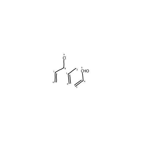 C=CC.C=CC=O.C=CCCl